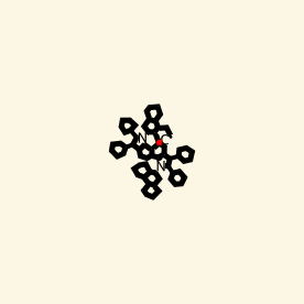 c1ccc(-c2c(-c3ccccc3)n(-c3cc4ccccc4c4ccccc34)c3c2ccc2c3ccc3c(-c4ccccc4)c(-c4ccccc4)n(-c4cc5ccccc5c5ccccc45)c32)cc1